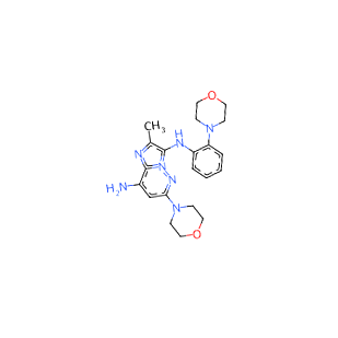 Cc1nc2c(N)cc(N3CCOCC3)nn2c1Nc1ccccc1N1CCOCC1